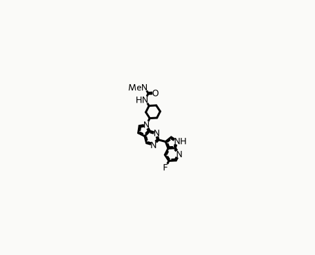 CNC(=O)NC1CCCC(n2ccc3cnc(-c4c[nH]c5ncc(F)cc45)nc32)C1